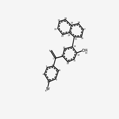 C=C(c1ccc(Br)cc1)c1ccc(O)c(-c2cccc3ccccc23)c1